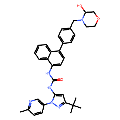 Cc1ccc(-n2nc(C(C)(C)C)cc2NC(=O)Nc2ccc(-c3ccc(CN4CCOCC4O)cc3)c3ccccc23)cn1